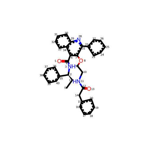 CC[C@H](NC(=O)c1c(OCCNC(=O)Cc2ccccc2)c(-c2ccccc2)nc2ccccc12)c1ccccc1